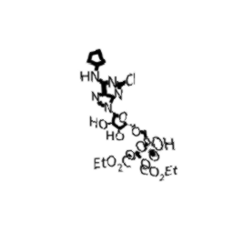 CCOC(=O)OC(OC(=O)OCC)OP(=O)(O)COC[C@H]1O[C@@H](n2cnc3c(NC4CCCC4)nc(Cl)nc32)[C@H](O)[C@@H]1O